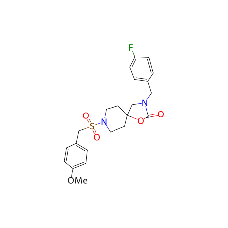 COc1ccc(CS(=O)(=O)N2CCC3(CC2)CN(Cc2ccc(F)cc2)C(=O)O3)cc1